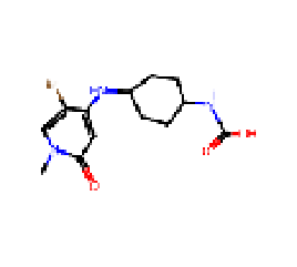 Cn1cc(Br)c(NC2CCC(NC(=O)O)CC2)cc1=O